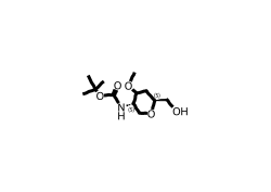 COC1C[C@@H](CO)OC[C@@H]1NC(=O)OC(C)(C)C